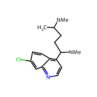 CNC(C)CCC(NC)c1ccnc2cc(Cl)ccc12